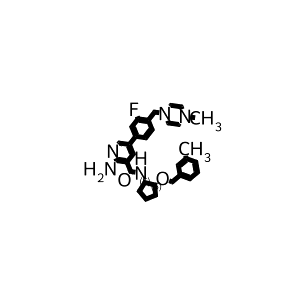 Cc1cccc(CO[C@H]2CCC[C@@H]2NC(=O)c2cc(-c3ccc(CN4CCN(C)CC4)c(F)c3)cnc2N)c1